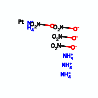 O=[N+]([O-])[O-].O=[N+]([O-])[O-].O=[N+]([O-])[O-].O=[N+]([O-])[O-].[NH4+].[NH4+].[NH4+].[NH4+].[Pt]